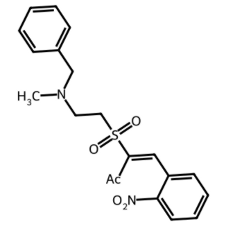 CC(=O)C(=Cc1ccccc1[N+](=O)[O-])S(=O)(=O)CCN(C)Cc1ccccc1